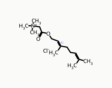 CC(C)=CCC/C(C)=C/COC(=O)C[N+](C)(C)C.[Cl-]